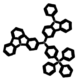 c1ccc(-n2c3ccccc3c3cc(N(c4ccc([Si](c5ccccc5)(c5ccccc5)c5ccccc5)cc4)c4ccc5c(c4)c4cccc6c7ccccc7n5c64)ccc32)cc1